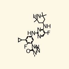 Cn1nnn(-c2cc(Nc3ncc(F)c(NC4CC(C)(C)NC(C)(C)C4)n3)cc(C3CC3)c2F)c1=O